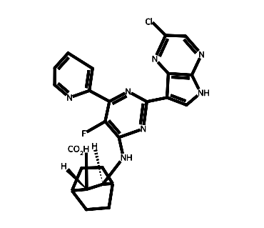 O=C(O)[C@H]1C2CCC(CC2)[C@@H]1Nc1nc(-c2c[nH]c3ncc(Cl)nc23)nc(-c2ccccn2)c1F